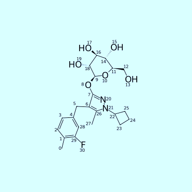 Cc1ccc(Cc2c(O[C@@H]3O[C@H](CO)[C@@H](O)[C@H](O)[C@H]3O)nn(C3CCC3)c2C)cc1F